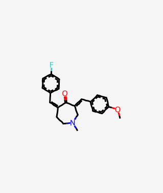 COc1ccc(C=C2CN(C)CCC(=Cc3ccc(F)cc3)C2=O)cc1